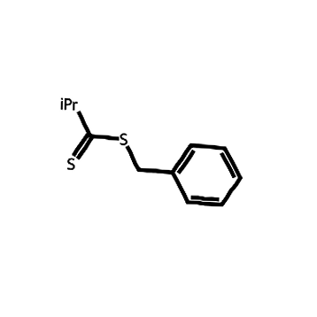 CC(C)C(=S)SCc1ccccc1